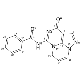 O=C(Nc1nc(=O)c2cnn3c2n1CC=C3)c1ccccc1